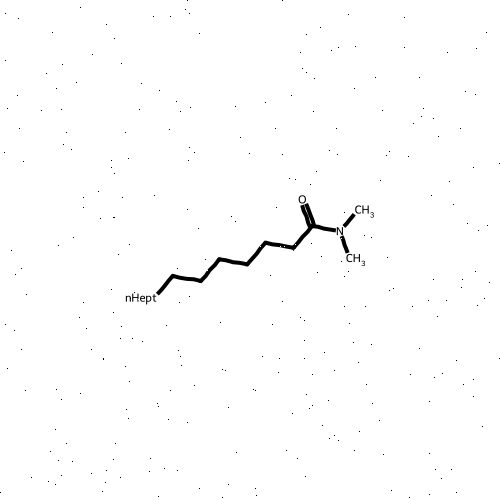 CCCCCCCCCCCC[CH]C(=O)N(C)C